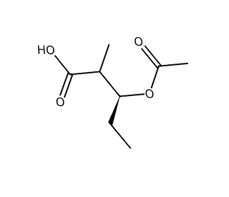 CC[C@H](OC(C)=O)C(C)C(=O)O